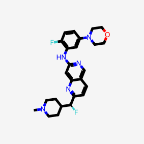 CN1CCC([C@H](F)c2ccc3cnc(Nc4cc(N5CCOCC5)ccc4F)cc3n2)CC1